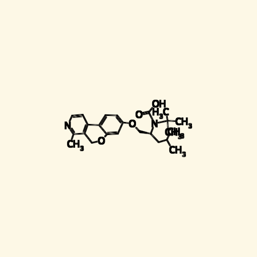 Cc1nccc2c1COc1cc(OC[C@H](CC(C)C)N(C(=O)O)C(C)(C)C)ccc1-2